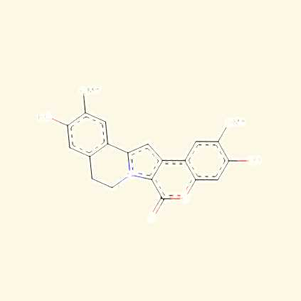 COc1cc2c(cc1O)CCn1c-2cc2c3cc(OC)c(O)cc3oc(=O)c21